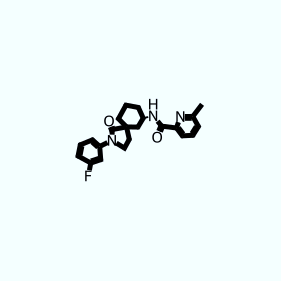 Cc1cccc(C(=O)N[C@H]2CCCC3(CCN(c4cccc(F)c4)C3=O)C2)n1